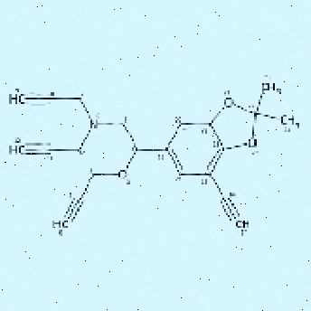 C#CCOC(CN(CC#C)CC#C)c1cc(C#C)c2c(c1)OC(C)(C)O2